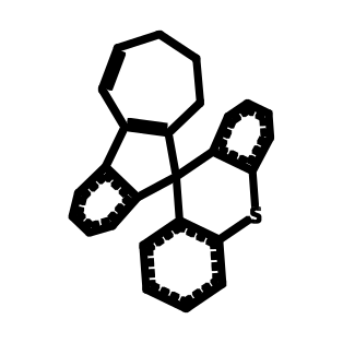 C1=CC2=C(CCC1)C1(c3ccccc3Sc3ccccc31)c1ccccc12